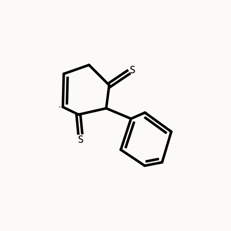 S=C1[C]=CCC(=S)C1c1ccccc1